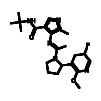 COC1=C([C@H]2CCCN2/C(C)=N/c2c(C(=O)NC(C)(C)C)cnn2C)CC(F)C=N1